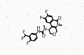 CN(C(=O)Nc1ccc(F)c(C(F)F)c1)[C@H]1COCc2c1c1cc(F)c(F)cc1c(=O)n2C